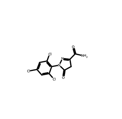 NC(=O)C1=NN(c2c(Cl)cc(Cl)cc2Cl)C(=O)C1